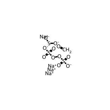 C=O.O=S(=O)([O-])OOS(=O)(=O)[O-].[Na+].[Na+].[Na+].[Na+].[O-]S[O-]